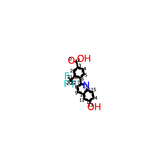 O=C(O)c1ccc(-c2ccc3cc(O)ccc3n2)c(C(F)(F)F)c1